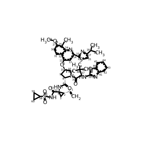 C=C[C@@H]1C[C@]1(NC(=O)[C@@H]1C[C@@H](Oc2cc(-c3nc(C(C)C)cs3)nc3c(C)c(OC)ccc23)CN1C(=O)[C@@H](Nc1nc2ccccc2o1)C(C)(C)C)C(=O)NS(=O)(=O)C1CC1